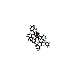 c1ccc(N(c2ccc3ccccc3c2)c2cccc3c2oc2c(-c4cccc5oc6cccc(-c7cccc8sc9ccccc9c78)c6c45)cccc23)cc1